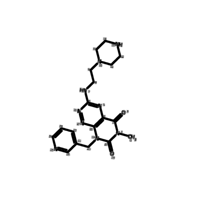 Cn1c(=O)c2nc(NCCN3CCNCC3)nnc2n(Cc2cccnc2)c1=O